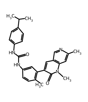 Cc1cc2c(cn1)cc(-c1cc(NC(=O)Nc3ccc(C(C)C)cc3)ccc1C)c(=O)n2C